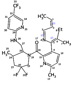 C\C=C/C=N\C(=C(\C)CC)c1ccc(C)nc1C(=O)N1CC(F)(F)CC(C)C1CNc1ccc(C(F)(F)F)cn1